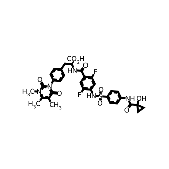 Cc1c(C)n(C)c(=O)n(-c2ccc(C[C@H](NC(=O)c3cc(F)c(NS(=O)(=O)c4ccc(NC(=O)C5(O)CC5)cc4)cc3F)C(=O)O)cc2)c1=O